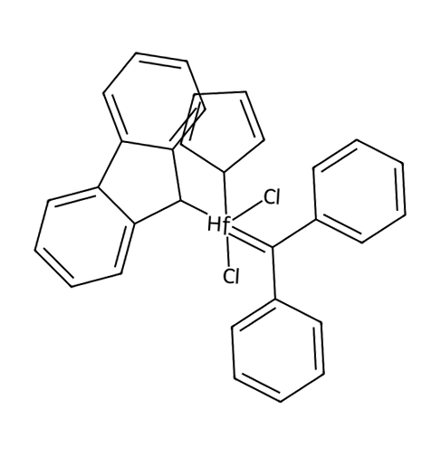 [Cl][Hf]([Cl])(=[C](c1ccccc1)c1ccccc1)([CH]1C=CC=C1)[CH]1c2ccccc2-c2ccccc21